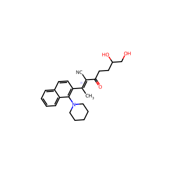 C/C(=C(/C#N)C(=O)CCC(O)CO)c1ccc2ccccc2c1N1CCCCC1